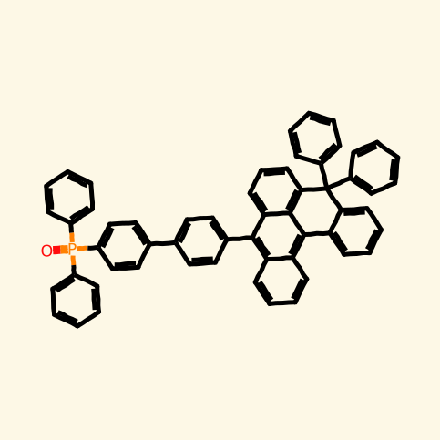 O=P(c1ccccc1)(c1ccccc1)c1ccc(-c2ccc(-c3c4ccccc4c4c5c(cccc35)C(c3ccccc3)(c3ccccc3)c3ccccc3-4)cc2)cc1